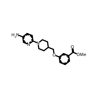 COC(=O)c1cccc(OCC2CCN(c3ccc(N)cn3)CC2)c1